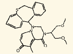 COCC(COC)N1CN(C2c3ccccc3CSc3ccccc32)n2ccc(=O)c(C)c2C1=O